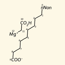 CCCCCCCCCCCCCCCCCC(=O)[O-].O=C(O)[CH2][Mg+]